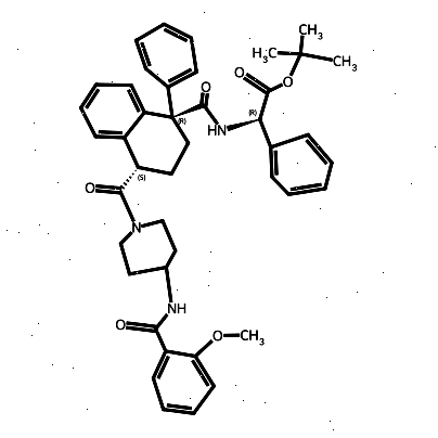 COc1ccccc1C(=O)NC1CCN(C(=O)[C@H]2CC[C@@](C(=O)N[C@@H](C(=O)OC(C)(C)C)c3ccccc3)(c3ccccc3)c3ccccc32)CC1